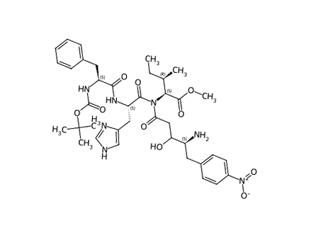 CC[C@@H](C)[C@@H](C(=O)OC)N(C(=O)CC(O)[C@@H](N)Cc1ccc([N+](=O)[O-])cc1)C(=O)[C@H](Cc1c[nH]cn1)NC(=O)[C@H](Cc1ccccc1)NC(=O)OC(C)(C)C